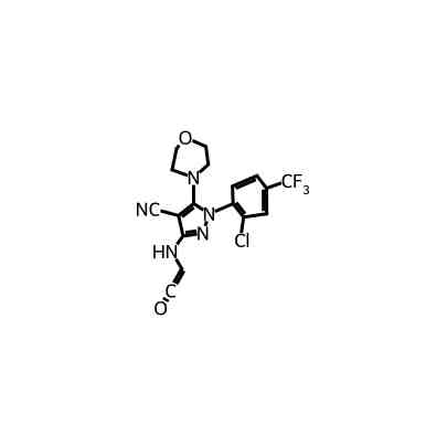 N#Cc1c(NC=C=O)nn(-c2ccc(C(F)(F)F)cc2Cl)c1N1CCOCC1